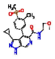 Cc1cc(-c2c(C(=O)NC3COC3)ncc3[nH]nc(C4CC4)c23)ccc1S(C)(=O)=O